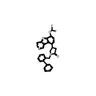 O=C1CC(c2ccc(OC(F)F)c3oc4ccncc4c23)CN1Cc1ccccc1-c1ccccc1